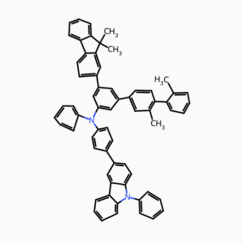 Cc1ccccc1-c1ccc(-c2cc(-c3ccc4c(c3)C(C)(C)c3ccccc3-4)cc(N(c3ccccc3)c3ccc(-c4ccc5c(c4)c4ccccc4n5-c4ccccc4)cc3)c2)cc1C